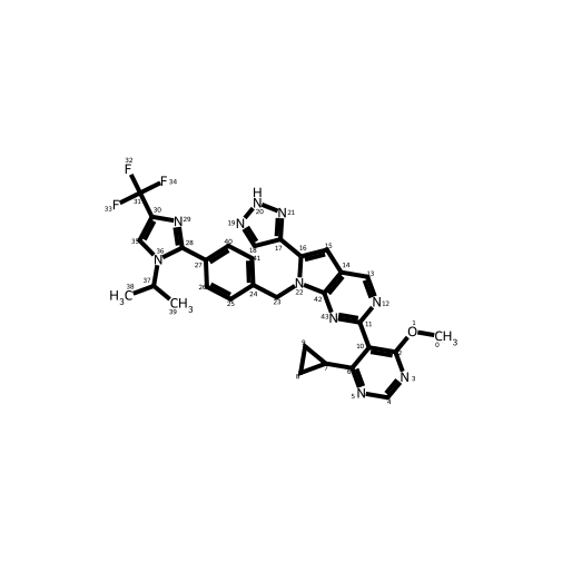 COc1ncnc(C2CC2)c1-c1ncc2cc(-c3cn[nH]n3)n(Cc3ccc(-c4nc(C(F)(F)F)cn4C(C)C)cc3)c2n1